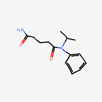 CC(C)N(C(=O)CCCC(N)=O)c1ccccc1